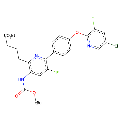 CCOC(=O)CCCc1nc(-c2ccc(Oc3ncc(Cl)cc3F)cc2)c(F)cc1NC(=O)OC(C)(C)C